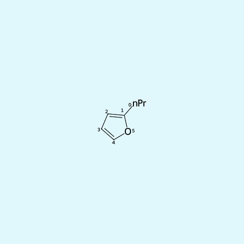 [CH2]CCc1ccco1